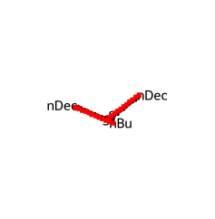 [CH2]CCCc1cc(SCCCCCCCCCCCCCCCCCCCCCCCCCCCC)cc(SCCCCCCCCCCCCCCCCCCCCCCCCCCCC)c1